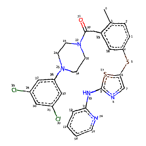 Cc1ccc(Sc2cnc(Nc3ccccn3)s2)cc1C(=O)N1CCN(c2cc(Cl)cc(Cl)c2)CC1